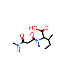 CCC(C)C(C(=O)O)N(C)C(=O)CC(=O)NC